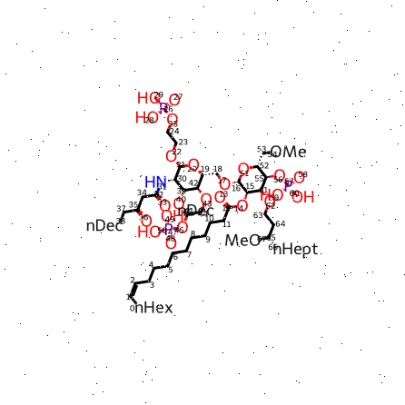 CCCCCC/C=C\CCCCCCCCCC(=O)O[C@H]1[C@H](OC[C@H]2O[C@H](OCCOP(=O)(O)O)[C@@H](NC(=O)CC(=O)CCCCCCCCCCC)[C@@H](OCCCCCCCCCC)[C@@H]2OCCOP(=O)(O)O)O[C@H](COC)[C@@H](OP(=O)(O)O)[C@@H]1OCC[C@H](CCCCCCC)OC